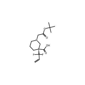 C=CC(F)(F)[C@@]1(C(=O)O)CCCN(CC(=O)OC(C)(C)C)C1